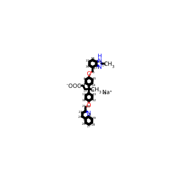 Cc1nc2c(COc3ccc(C(C)(CCC(=O)[O-])c4ccc(OCc5ccc6ccccc6n5)cc4)cc3)cccc2[nH]1.[Na+]